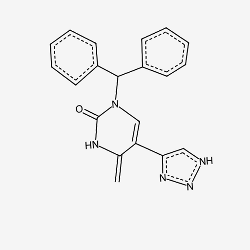 C=C1NC(=O)N(C(c2ccccc2)c2ccccc2)C=C1c1c[nH]nn1